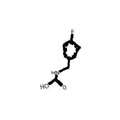 O=C(O)NCc1ccc(F)cc1